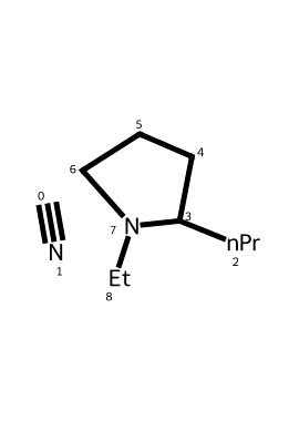 C#N.CCCC1CCCN1CC